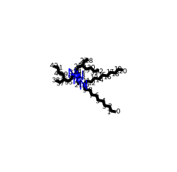 CCCCCCCCCCN(CCCCCCCCCC)Cn1nc(CC(CC)CCCC)nc1CC(CC)CCCC